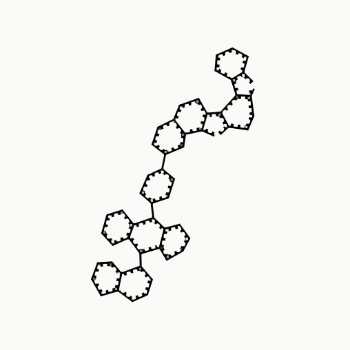 c1ccc2c(-c3c4ccccc4c(-c4ccc(-c5ccc6ccc7c(sc8ccc9sc%10ccccc%10c9c87)c6c5)cc4)c4ccccc34)cccc2c1